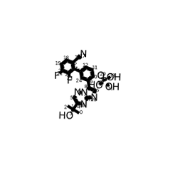 CC(C)(O)c1cnn2c(-c3cccc(-c4c(C#N)ccc(F)c4F)c3)cnc2n1.O=P(O)(O)O